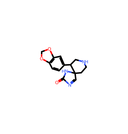 O=C1N=CC2(CCNCC2c2ccc3c(c2)OCO3)N1